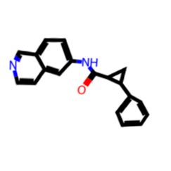 O=C(Nc1ccc2cnccc2c1)C1CC1c1ccccc1